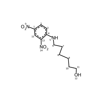 O=[N+]([O-])c1ccc(NCCCCCCO)c([N+](=O)[O-])c1